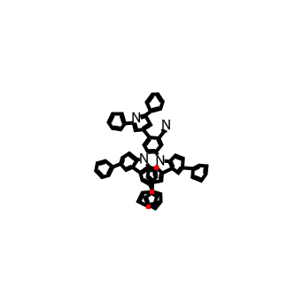 N#Cc1cc(-n2c3ccc(-c4ccccc4)cc3c3cc(-c4ccccc4)ccc32)c(-n2c3ccc(-c4ccccc4)cc3c3cc(-c4ccccc4)ccc32)cc1-c1cc(-c2ccccc2)nc(-c2ccccc2)c1